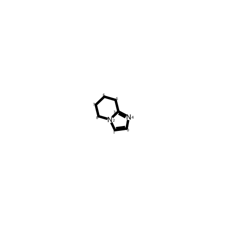 c1cn2c(n1)CCCC2